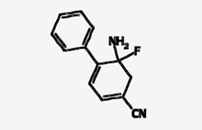 N#CC1=CC=C(c2ccccc2)C(N)(F)C1